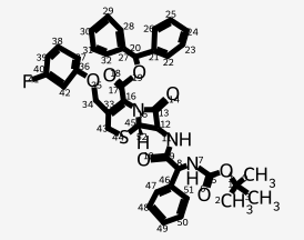 CC(C)(C)OC(=O)NC(C(=O)NC1C(=O)N2C(C(=O)OC(c3ccccc3)c3ccccc3)=C(COc3cccc(F)c3)CS[C@@H]12)c1ccccc1